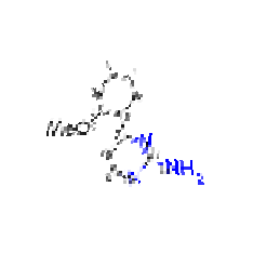 COc1ccccc1-c1ccnc(N)n1